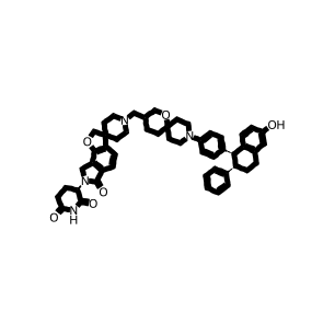 O=C1CC[C@H](N2Cc3c(ccc4c3OCC43CCN(CC4CCC5(CCN(c6ccc([C@@H]7c8ccc(O)cc8CC[C@@H]7c7ccccc7)cc6)CC5)OC4)CC3)C2=O)C(=O)N1